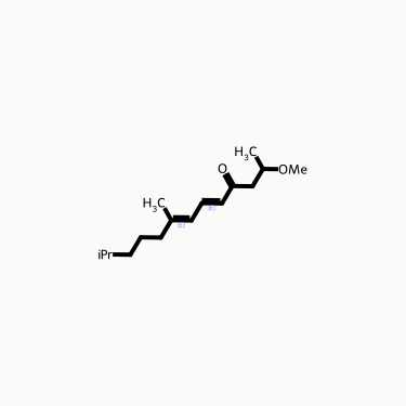 COC(C)CC(=O)/C=C/C=C(\C)CCCC(C)C